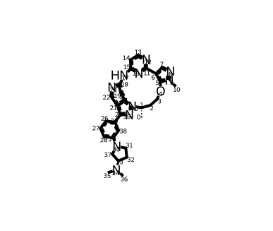 C[C@H]1CCOc2c(cnn2C)-c2nccc(n2)Nc2cc3c(cn2)c(-c2cccc(N4CC[C@@H](N(C)C)C4)c2)nn31